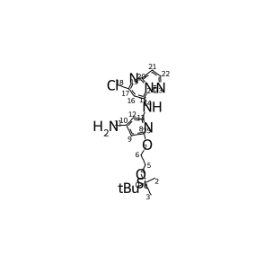 CC(C)(C)[Si](C)(C)OCCOc1cc(N)cc(Nc2cc(Cl)nc3ccnn23)n1